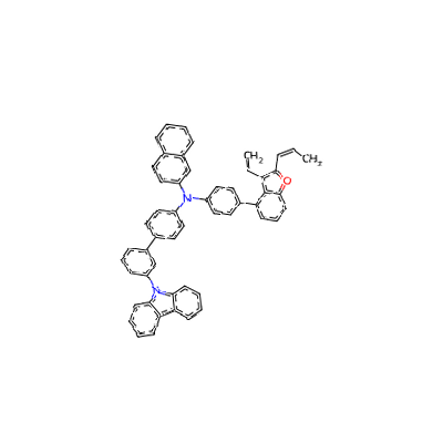 C=Cc1c(/C=C\C)oc2cccc(-c3ccc(N(c4ccc(-c5cccc(-n6c7ccccc7c7ccccc76)c5)cc4)c4ccc5ccccc5c4)cc3)c12